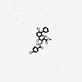 COC(=O)c1[nH]c2c(-c3ccccc3)c(OC)ccc2c(=O)c1CNC(=O)c1ccc(Cl)cc1